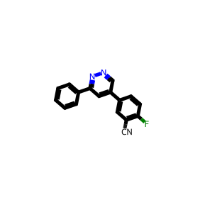 N#Cc1cc(-c2cnnc(-c3ccccc3)c2)ccc1F